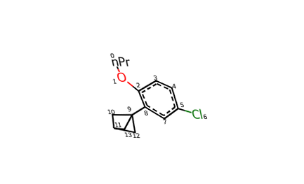 CCCOc1ccc(Cl)cc1C12CC(C1)C2